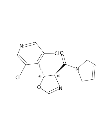 O=C([C@H]1N=CO[C@@H]1c1c(Cl)cncc1Cl)N1CC=CC1